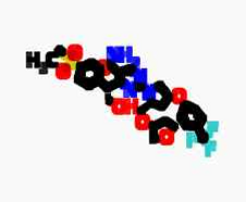 CCS(=O)(=O)c1ccc([C@@H](CO)c2nc(N3C[C@H](Oc4ccc(C(F)(F)F)cc4)C[C@H]3COC3CCOC3)ncc2C(N)=O)cc1